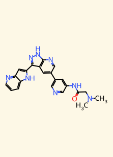 CN(C)CC(=O)Nc1cncc(-c2cnc3[nH]nc(-c4cc5ncccc5[nH]4)c3c2)c1